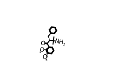 COc1cccc(C(=O)[C@@H](Cc2ccccc2)C(C)(C)N)c1OC